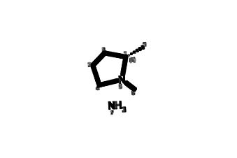 C[C@H]1CCCN1C.N